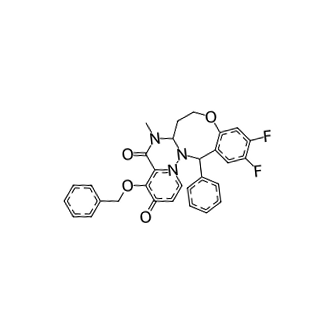 CN1C(=O)c2c(OCc3ccccc3)c(=O)ccn2N2C(c3ccccc3)c3cc(F)c(F)cc3OCCC12